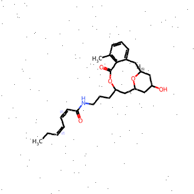 CC/C=C\C=C/C(=O)NCCCC1CC2CC(O)C[C@H](Cc3cccc(C)c3C(=O)O1)O2